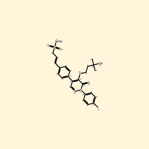 CC(=O)NS(=O)(=O)CC=Cc1ccc(-c2cnn(-c3ccc(F)cc3)c(=O)c2OCCC(C)(C)O)cc1